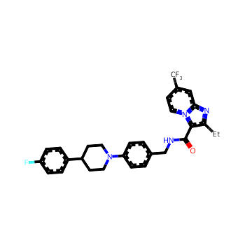 CCc1nc2cc(C(F)(F)F)ccn2c1C(=O)NCc1ccc(N2CCC(c3ccc(F)cc3)CC2)cc1